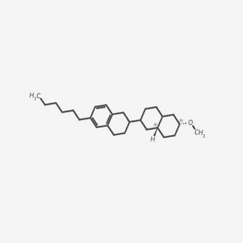 CCCCCCc1ccc2c(c1)CCC(C1CCC3C[C@H](OC)CC[C@@H]3C1)C2